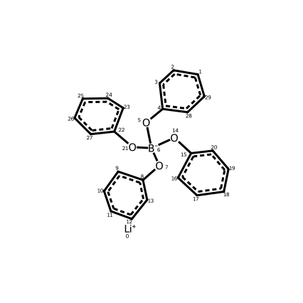 [Li+].c1ccc(O[B-](Oc2ccccc2)(Oc2ccccc2)Oc2ccccc2)cc1